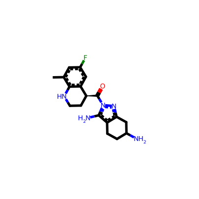 Cc1cc(F)cc2c1NCC[C@@H]2C(=O)n1nc2c(c1N)CCC(N)C2